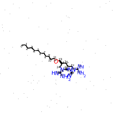 CCCCCCCCCCCCOC=C(CCCN(C#N)C(=N)N)CN(C#N)C(=N)N